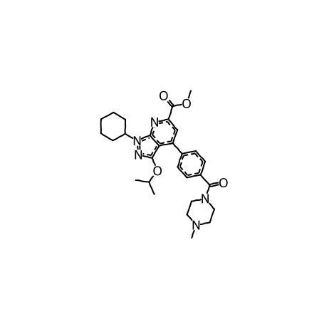 COC(=O)c1cc(-c2ccc(C(=O)N3CCN(C)CC3)cc2)c2c(OC(C)C)nn(C3CCCCC3)c2n1